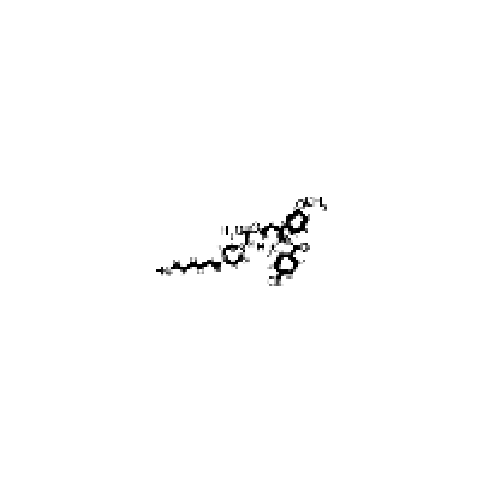 COc1ccc2c(c1)c(CC(=O)OC(C)CN1CCN(CCCCCCO)CC1)c(C)n2C(=O)c1ccc(Cl)cc1